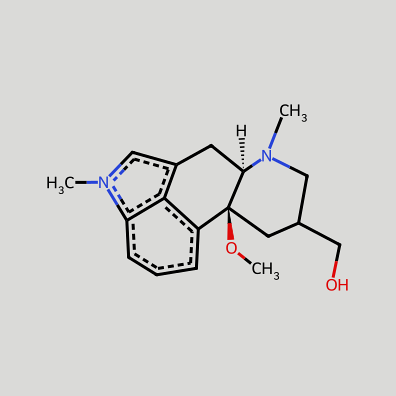 CO[C@]12CC(CO)CN(C)[C@@H]1Cc1cn(C)c3cccc2c13